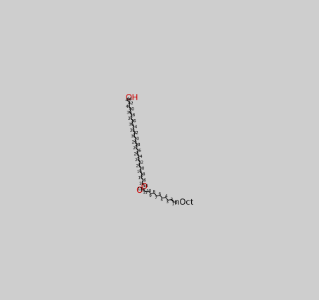 CCCCCCCCC=CCCCCCCCCCC(=O)OCCCCCCCCCCCCCCCCCCCCCCCCCCCCCO